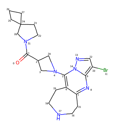 O=C(C1CN(c2c3c(nc4c(Br)cnn24)CCNCC3)C1)N1CCC2(CCC2)C1